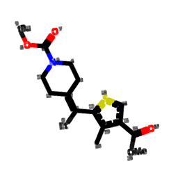 CCC(=C1CCN(C(=O)OC(C)(C)C)CC1)c1scc(C(=O)OC)c1C